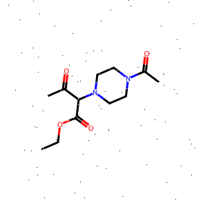 CCOC(=O)C(C(C)=O)N1CCN(C(C)=O)CC1